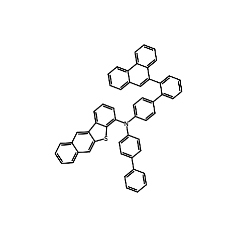 c1ccc(-c2ccc(N(c3ccc(-c4ccccc4-c4cc5ccccc5c5ccccc45)cc3)c3cccc4c3sc3cc5ccccc5cc34)cc2)cc1